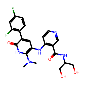 CN(C)c1[nH]c(=O)c(-c2ccc(F)cc2F)cc1Nc1ccncc1C(=O)NC(CO)CO